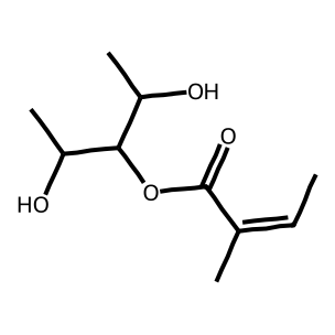 CC=C(C)C(=O)OC(C(C)O)C(C)O